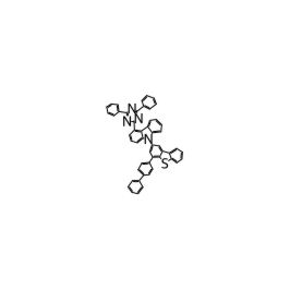 c1ccc(-c2ccc(-c3cc(-n4c5ccccc5c5c(-c6nc(-c7ccccc7)nc(-c7ccccc7)n6)cccc54)cc4c3sc3ccccc34)cc2)cc1